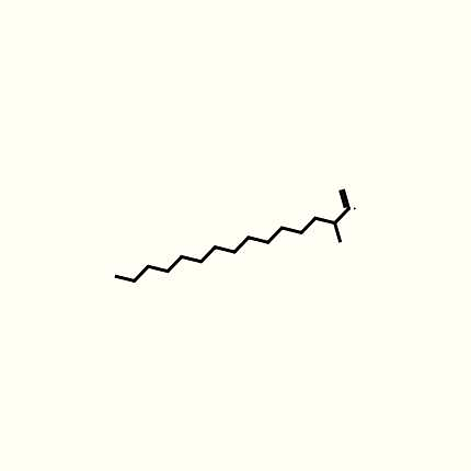 C=[C]C(C)CCCCCCCCCCCCC